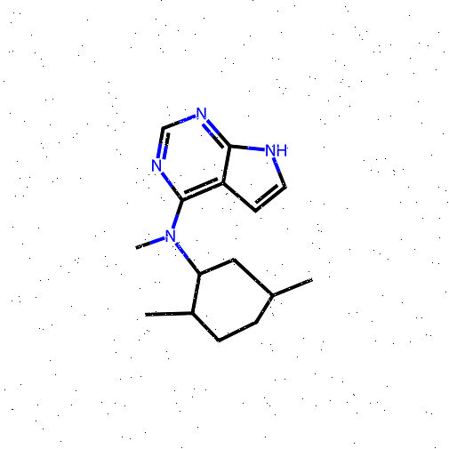 CC1CCC(C)C(N(C)c2ncnc3[nH]ccc23)C1